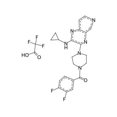 O=C(O)C(F)(F)F.O=C(c1ccc(F)c(F)c1)N1CCN(c2nc3cnccc3nc2NC2CC2)CC1